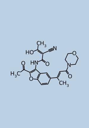 CC(=O)c1oc2ccc(C(C)=CC(=O)N3CCOCC3)cc2c1NC(=O)C(C#N)=C(C)O